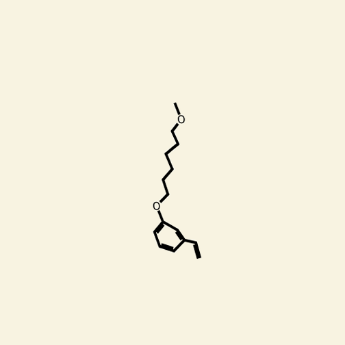 C=Cc1cccc(OCCCCCCOC)c1